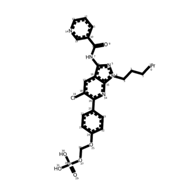 CC(C)CCCn1nc(NC(=O)c2cccnc2)c2cc(Cl)c(-c3ccc(OCOP(=O)(O)O)cc3)nc21